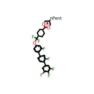 CCCCCC12COC(C3CCC(C(F)(F)Oc4ccc(-c5ccc(-c6cc(F)c(F)c(F)c6)c(F)c5)c(F)c4)CC3)(OC1)OC2